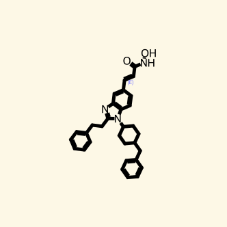 O=C(/C=C/c1ccc2c(c1)nc(CCc1ccccc1)n2C1CCC(Cc2ccccc2)CC1)NO